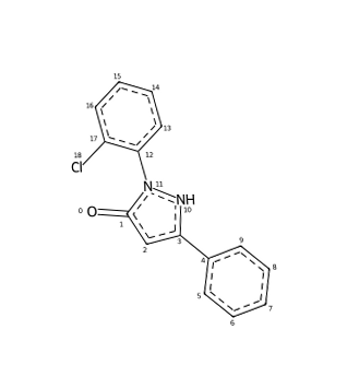 O=c1cc(-c2ccccc2)[nH]n1-c1ccccc1Cl